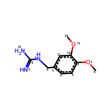 COc1ccc(CNC(=N)N)cc1OC